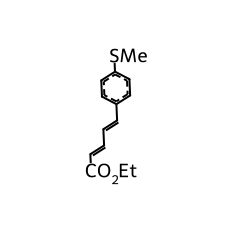 CCOC(=O)/C=C/C=C/c1ccc(SC)cc1